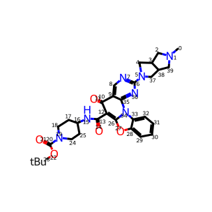 CN1CC2CN(c3ncc4c(=O)c(C(=O)NC5CCN(C(=O)OC(C)(C)C)CC5)c5oc6ccccc6n5c4n3)CC2C1